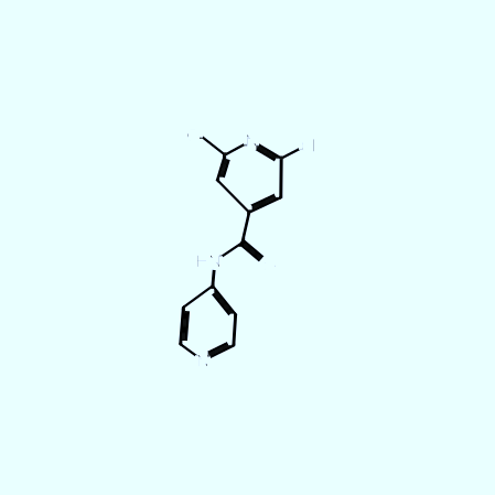 O=C(Nc1ccncc1)c1cc(Cl)nc(Cl)c1